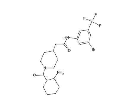 NC1CCCCC1C(=O)N1CCC(CC(=O)Nc2cc(Br)cc(C(F)(F)F)c2)CC1